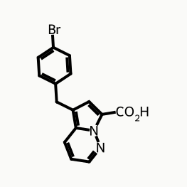 O=C(O)c1cc(Cc2ccc(Br)cc2)c2cccnn12